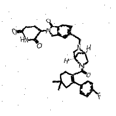 CC1(C)CCC(C(=O)N2C[C@H]3C[C@@H]2CN3Cc2ccc3c(c2)CN(C2CCC(=O)NC2=O)C3=O)=C(c2ccc(F)cc2)C1